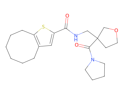 O=C(NCC1(C(=O)N2CCCC2)CCOC1)c1cc2c(s1)CCCCCC2